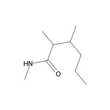 CCCC(C)C(C)C(=O)NC